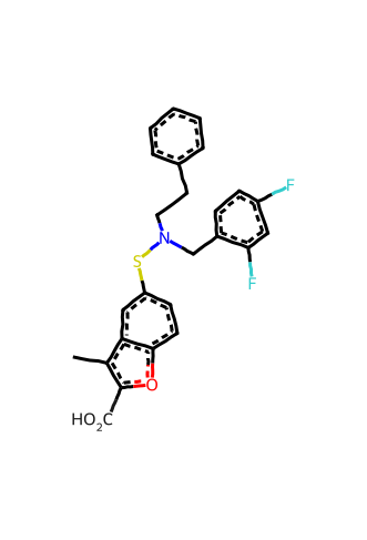 Cc1c(C(=O)O)oc2ccc(SN(CCc3ccccc3)Cc3ccc(F)cc3F)cc12